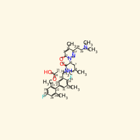 Cc1cc(=O)n([C@@H](CC(C)C)C(=O)N[C@@H](CC(=O)O)c2cc(-c3c(C)cc(F)cc3C)cc(C)c2F)nc1CCN(C)C